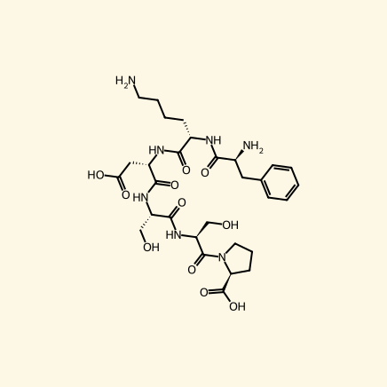 NCCCC[C@H](NC(=O)[C@@H](N)Cc1ccccc1)C(=O)N[C@@H](CC(=O)O)C(=O)N[C@@H](CO)C(=O)N[C@@H](CO)C(=O)N1CCC[C@H]1C(=O)O